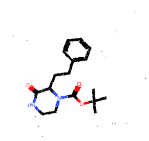 CC(C)(C)OC(=O)N1CCNC(=O)C1CCc1ccccc1